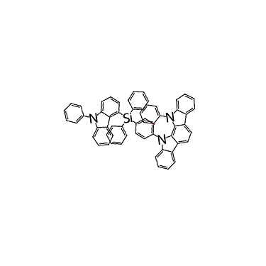 c1ccc(-n2c3ccccc3c3c([Si](c4ccccc4)(c4ccccc4)c4ccc(-n5c6ccccc6c6ccc7c8ccccc8n(-c8ccccc8)c7c65)cc4)cccc32)cc1